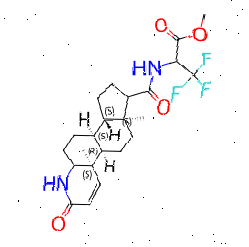 COC(=O)C(NC(=O)C1CC[C@H]2[C@@H]3CCC4NC(=O)C=C[C@]4(C)[C@@H]3CC[C@]12C)C(F)(F)F